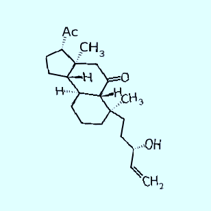 C=C[C@@H](O)CC[C@@]1(C)CCC[C@@H]2[C@@H]1C(=O)C[C@]1(C)[C@@H](C(C)=O)CC[C@@H]21